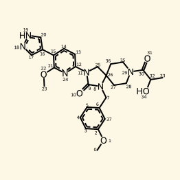 COc1cccc(CN2C(=O)N(c3ccc(-c4cn[nH]c4)c(OC)n3)CC23CCN(C(=O)C(C)O)CC3)c1